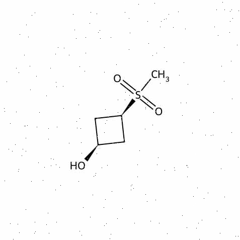 CS(=O)(=O)[C@H]1C[C@@H](O)C1